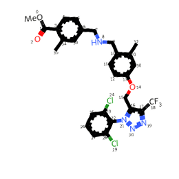 COC(=O)c1ccc(CNCc2ccc(OCc3c(C(F)(F)F)nnn3-c3c(Cl)cccc3Cl)cc2C)cc1C